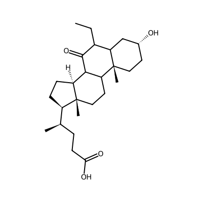 CCC1C(=O)C2C(CC[C@]3(C)[C@@H]([C@H](C)CCC(=O)O)CC[C@@H]23)[C@@]2(C)CC[C@@H](O)CC12